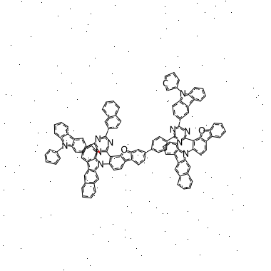 c1ccc(-n2c3ccccc3c3cc(-c4nc(-c5ccc(-c6ccc7c(c6)oc6c(-c8nc(-c9ccc%10ccccc%10c9)nc(-c9ccc%10c(c9)c9ccccc9n%10-c9ccccc9)n8)c(-n8c9ccccc9c9cc%10ccccc%10cc98)ccc67)cc5)nc(-c5c(-n6c7ccccc7c7cc8ccccc8cc76)ccc6c5oc5ccccc56)n4)ccc32)cc1